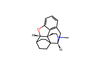 CN1CC[C@]23c4c5cccc4O[C@H]2C2CCC3(CC2)[C@H]1C5